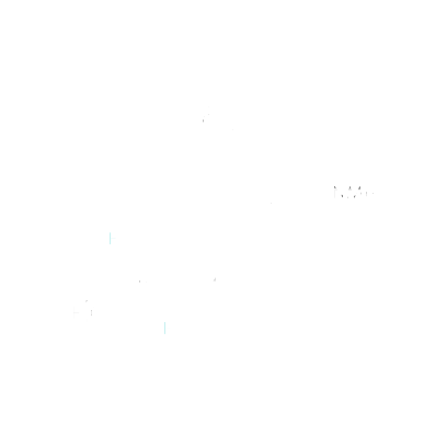 CNCc1ccc(C(F)(F)C(F)(F)F)cc1C